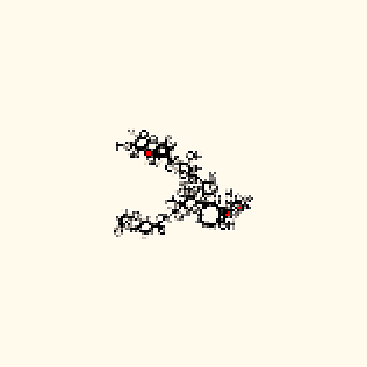 CCN(C(=O)OCOC(=O)C1CCC(CN2C(=O)C=CC2=O)CC1)[C@H]1CO[C@@H](O[C@H]2C(O[C@H]3C#C/C=C\C#C[C@@]4(O)CC(=O)C(NC(=O)OC)=C3/C4=C\CSSSC)O[C@H](C)[C@@H](NO[C@H]3C[C@H](O)[C@H](SC(=O)c4c(C)c(I)c(O[C@@H]5O[C@@H](C)[C@H](O)[C@@H](OC)[C@H]5O)c(OC)c4OC)[C@@H](C)O3)[C@@H]2O)C[C@@H]1OC